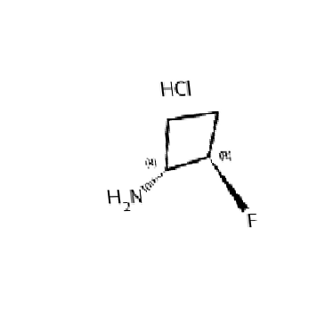 Cl.N[C@@H]1CC[C@H]1F